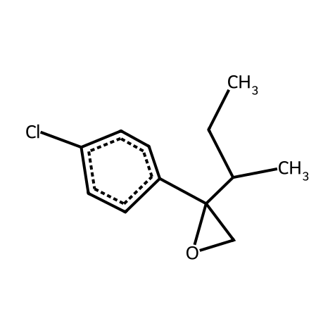 CCC(C)C1(c2ccc(Cl)cc2)CO1